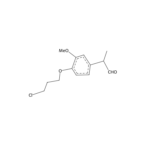 COc1cc(C(C)C=O)ccc1OCCCCl